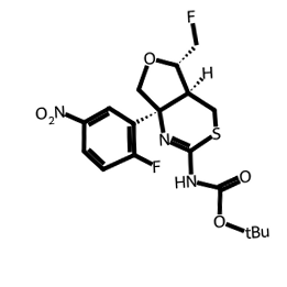 CC(C)(C)OC(=O)NC1=N[C@@]2(c3cc([N+](=O)[O-])ccc3F)CO[C@H](CF)[C@H]2CS1